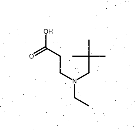 CCN(CCC(=O)O)CC(C)(C)C